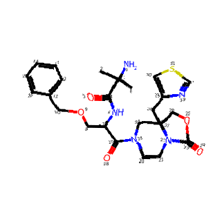 CC(C)(N)C(=O)NC(COCc1ccccc1)C(=O)N1CCN2C(=O)OCC2(Cc2cscn2)C1